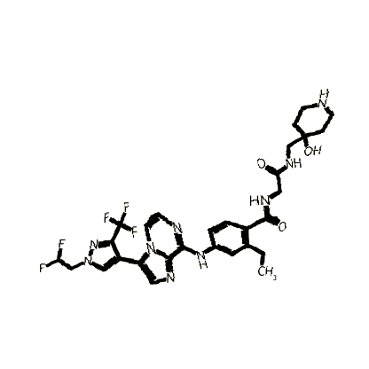 CCc1cc(Nc2nccn3c(-c4cn(CC(F)F)nc4C(F)(F)F)cnc23)ccc1C(=O)NCC(=O)NCC1(O)CCNCC1